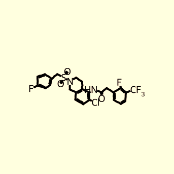 O=C(Cc1cccc(C(F)(F)F)c1F)Nc1c(Cl)ccc2c1CCN(S(=O)(=O)Cc1ccc(F)cc1)C2